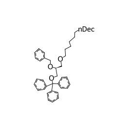 CCCCCCCCCCCCCCCCOC[C@@H](COC(c1ccccc1)(c1ccccc1)c1ccccc1)OCc1ccccc1